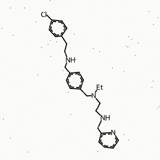 CCN(CCNCc1ccccn1)Cc1ccc(CNCCc2ccc(Cl)cc2)cc1